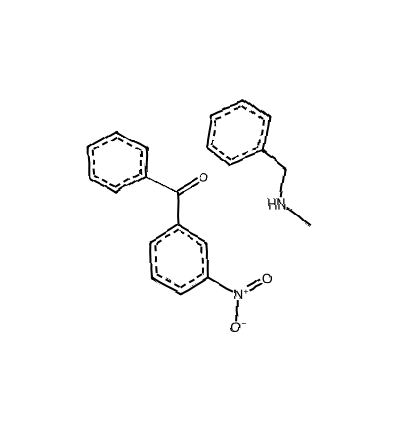 CNCc1ccccc1.O=C(c1ccccc1)c1cccc([N+](=O)[O-])c1